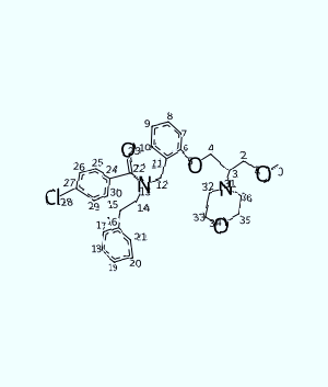 COCC(COc1ccccc1CN(CCc1ccccc1)C(=O)c1ccc(Cl)cc1)N1CCOCC1